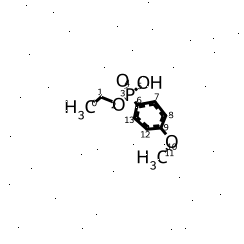 CCOP(=O)(O)c1ccc(OC)cc1